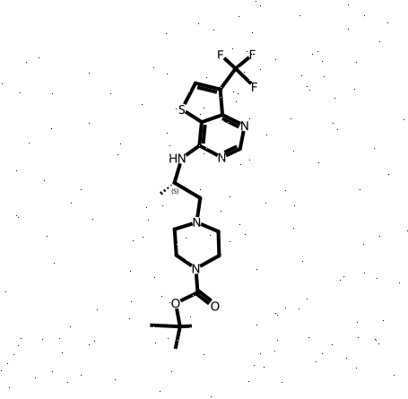 C[C@@H](CN1CCN(C(=O)OC(C)(C)C)CC1)Nc1ncnc2c(C(F)(F)F)csc12